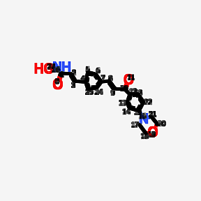 O=C(C=Cc1ccc(C=CC(=O)c2ccc(N3CCOCC3)cc2)cc1)NO